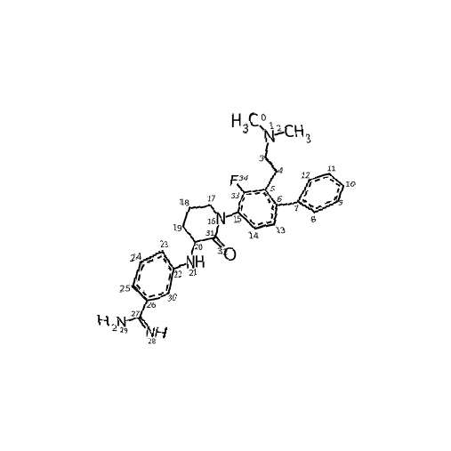 CN(C)CCc1c(-c2ccccc2)ccc(N2CCCC(Nc3cccc(C(=N)N)c3)C2=O)c1F